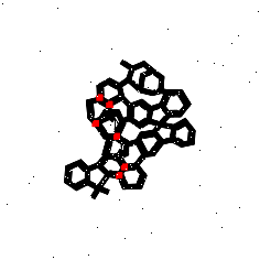 CC1CC2CC(C)C(c3ccccc3-c3cc4c(cc3N(c3ccccc3)c3ccccc3)C3(c5ccccc5-c5cc(-c6ccccc6)c(N(c6ccccc6)c6ccc7c(c6)-c6ccccc6C7(C)C)cc53)c3ccccc3-4)C(C1)C2